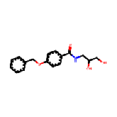 O=C(NCC(O)CO)c1ccc(OCc2ccccc2)cc1